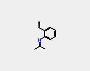 C=Cc1ccccc1N=C(C)C